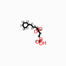 O=C(O)OCCC12OC1(CCCC1CCCCC1)O2